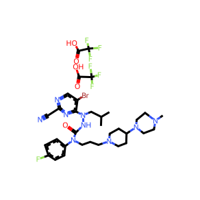 CC(C)CN(NC(=O)N(CCCN1CCC(N2CCN(C)CC2)CC1)c1ccc(F)cc1)c1nc(C#N)ncc1Br.O=C(O)C(F)(F)F.O=C(O)C(F)(F)F